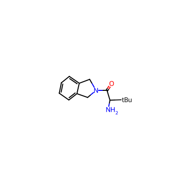 CC(C)(C)C(N)C(=O)N1Cc2ccccc2C1